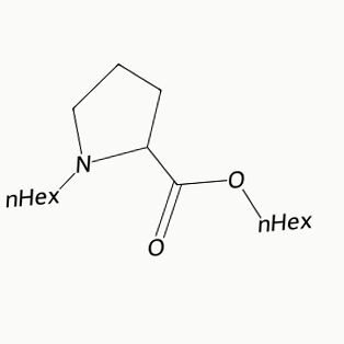 CCCCCCOC(=O)C1CCCN1CCCCCC